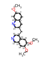 COc1ccc2cc(Cc3cncc4cc(OC)c(OC)cc34)cnc2c1